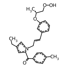 CCc1cc(C(=O)c2ccc(C)cc2)n(C/C=C/c2cccc(O[C@@H](C)COO)c2)c1